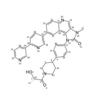 C[C@H](O)C(=O)N1CCC(c2ccc(-n3c(=O)n(C)c4cnc5ccc(-c6ccc(-c7cccnc7)nc6)cc5c43)cc2)CC1